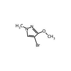 COc1nn(C)cc1Br